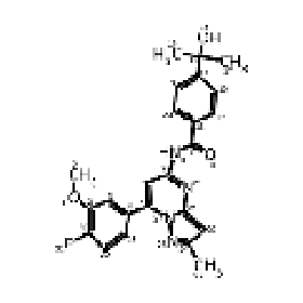 COc1cc(-c2cc(NC(=O)c3ccc(C(C)(C)O)cc3)nc3cc(C)nn23)ccc1F